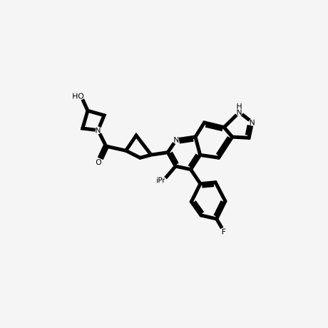 CC(C)c1c(C2CC(C(=O)N3CC(O)C3)C2)nc2cc3[nH]ncc3cc2c1-c1ccc(F)cc1